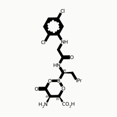 CC(C)C[C@H](NC(=O)CNc1cc(Cl)ccc1Cl)B1OC(=O)[C@H](N)[C@H](C(=O)O)O1